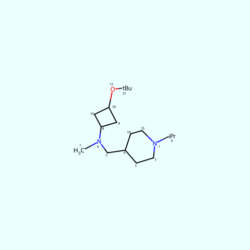 CC(C)N1CCC(CN(C)C2CC(OC(C)(C)C)C2)CC1